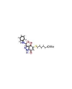 COCCCCCSC1=CC(=O)c2[nH]nc(C(=O)Nc3ccccc3)c2C1=O